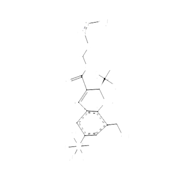 CCc1cc(S(F)(F)(F)(F)F)cc2c1O[C@H](C(F)(F)F)C(C(=O)OCO/N=N\O)=C2